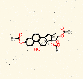 CCC(=O)OCC(=O)[C@]1(OC(=O)CC)[C@H](C)C=C2c3ccc4cc(OC(=O)CC)ccc4c3[C@@H](O)C[C@@]21C